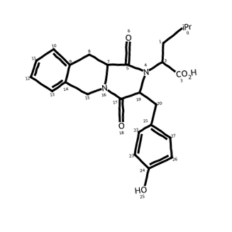 CC(C)CC(C(=O)O)N1C(=O)C2Cc3ccccc3CN2C(=O)C1Cc1ccc(O)cc1